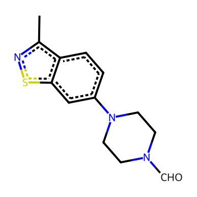 Cc1nsc2cc(N3CCN(C=O)CC3)ccc12